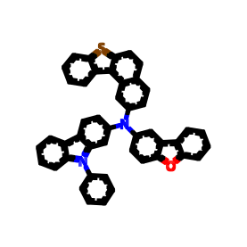 c1ccc(-n2c3ccccc3c3ccc(N(c4ccc5oc6ccccc6c5c4)c4ccc5ccc6sc7ccccc7c6c5c4)cc32)cc1